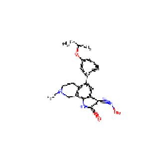 CC(C)Oc1cccc(-c2cc3c(c4c2CCN(C)C4)NC(=O)/C3=N\O)c1